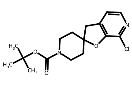 CC(C)(C)OC(=O)N1CCC2(CC1)Cc1ccnc(Cl)c1O2